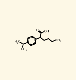 CN(C)c1ccc(C(CCCN)C(=O)O)cc1